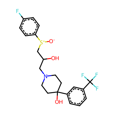 [O-][S+](CC(O)CN1CCC(O)(c2cccc(C(F)(F)F)c2)CC1)c1ccc(F)cc1